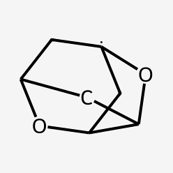 C1[C]2CC3OC1CC3O2